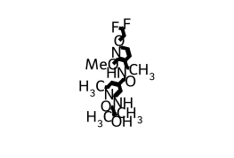 COc1nc(OCC(F)F)ccc1C(C)NC(=O)c1cc(C)nc(NC(=O)C(C)(C)O)c1